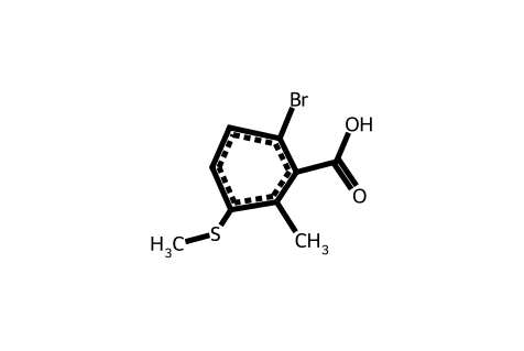 CSc1ccc(Br)c(C(=O)O)c1C